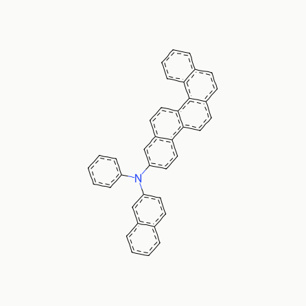 c1ccc(N(c2ccc3ccccc3c2)c2ccc3c(ccc4c3ccc3ccc5ccccc5c34)c2)cc1